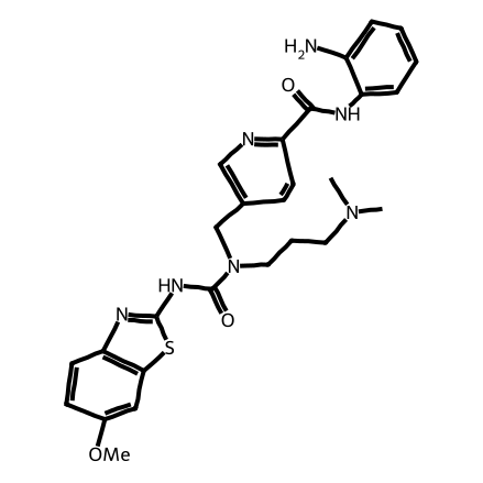 COc1ccc2nc(NC(=O)N(CCCN(C)C)Cc3ccc(C(=O)Nc4ccccc4N)nc3)sc2c1